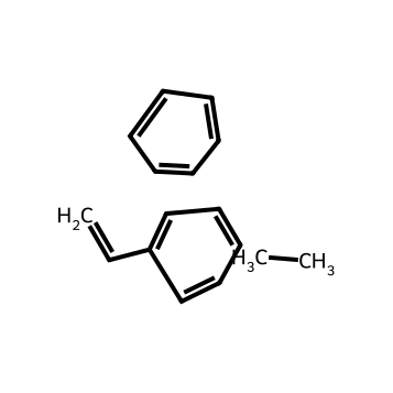 C=Cc1ccccc1.CC.c1ccccc1